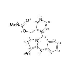 CNC(=O)OCc1nc(C(C)C)c(Sc2ccccc2)n1Cc1ccncc1